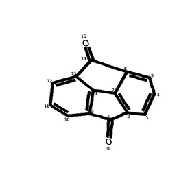 O=c1c2cccc3c2-c2c1cccc2c3=O